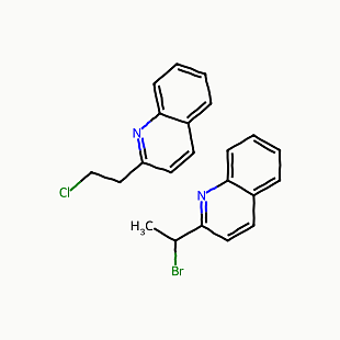 CC(Br)c1ccc2ccccc2n1.ClCCc1ccc2ccccc2n1